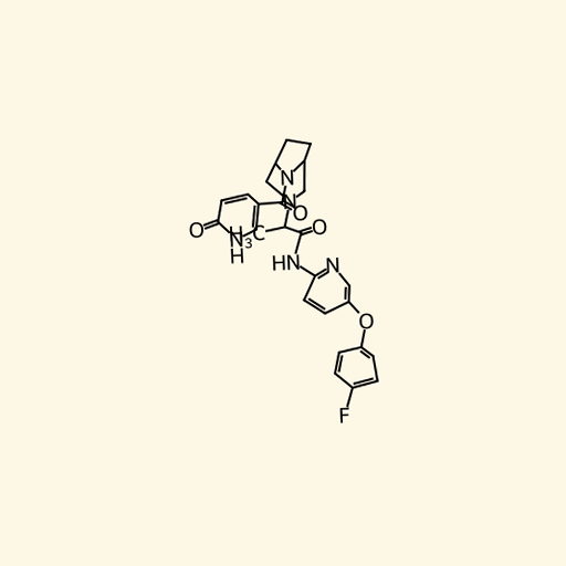 CC(C(=O)Nc1ccc(Oc2ccc(F)cc2)cn1)N1CC2CCC(C1)N2C(=O)c1ccc(=O)[nH]c1